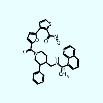 C[C@@H](NCC1CCN(C(=O)c2ccc(-c3ccsc3C(=O)N=O)o2)CC1c1ccccc1)c1cccc2ccccc12